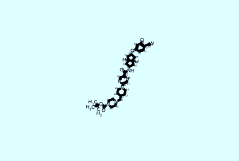 CC(C)(C)OC(=O)N1CCN(CC2CCN(c3cnc(C(=O)N[C@@H]4C[C@@H]5C[C@H](Oc6ccc(C#N)c(Cl)c6)C[C@@H]5C4)cn3)CC2)CC1